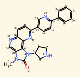 Cn1c(=O)n([C@H]2CCNC2)c2c3nc(-c4ccc(-c5ccccc5)nc4)ccc3ncc21